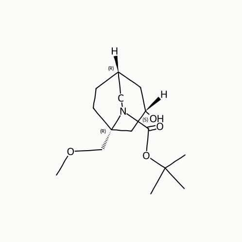 COC[C@@]12CC[C@H](C[C@H](O)C1)CN2C(=O)OC(C)(C)C